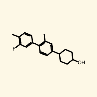 Cc1ccc(-c2ccc(C3CCC(O)CC3)cc2C)cc1F